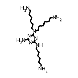 NCCCCCCNc1nc(N)nc(N(CCCCCCN)CCCCCCN)n1